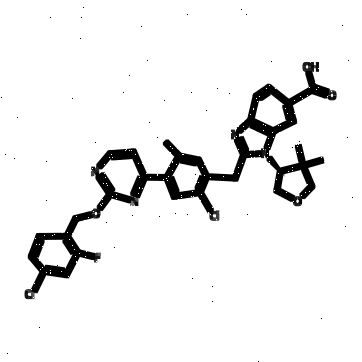 Cc1cc(Cc2nc3ccc(C(=O)O)cc3n2[C@@H]2COCC2(C)C)c(Cl)cc1-c1ccnc(OCc2ccc(Cl)cc2F)n1